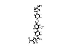 CC(C)c1noc(N2CCC(COc3ccc(C4=CCC(C(=O)N5CCC(N(C)C)C5)CC4)cc3)CC2)n1.Cl